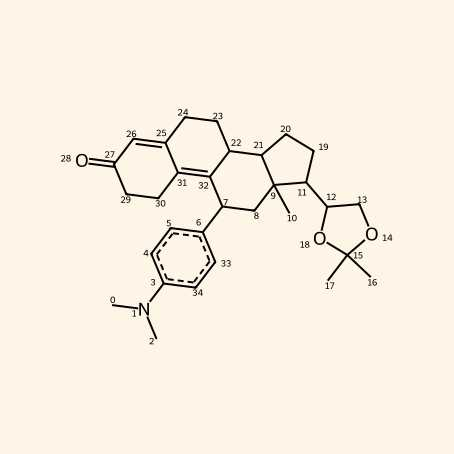 CN(C)c1ccc(C2CC3(C)C(C4COC(C)(C)O4)CCC3C3CCC4=CC(=O)CCC4=C23)cc1